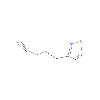 [C]#CCCCc1ccsn1